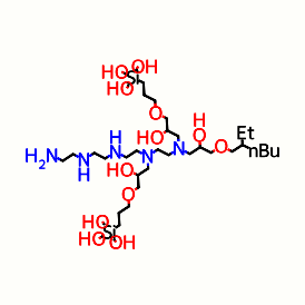 CCCCC(CC)COCC(O)CN(CCN(CCNCCNCCN)CC(O)COCCC[Si](O)(O)O)CC(O)COCCC[Si](O)(O)O